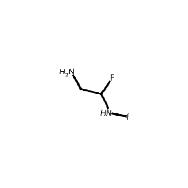 NCC(F)NI